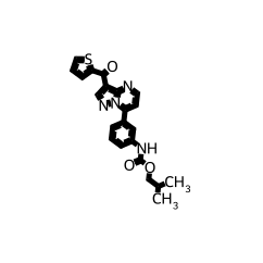 CC(C)COC(=O)Nc1cccc(-c2ccnc3c(C(=O)c4cccs4)cnn23)c1